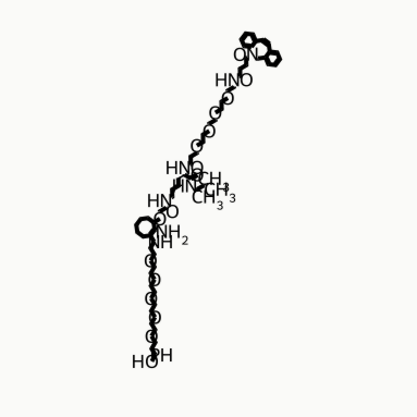 CC(C)[C@@H](C)NC(=O)[C@@H](CCCCNC(=O)COC1CCCCC/C(NCCOCCOCCOCCOCCOCCPO)=C\1N)NC(=O)CCOCCOCCOCCOCCNC(=O)CCC(=O)N1Cc2ccccc2C#Cc2ccccc21